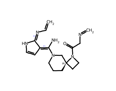 C=C/N=C1/NC=C/C1=C(/N)N1CCC[C@@]2(CCN2C(=O)CN=C)C1